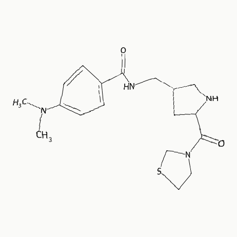 CN(C)c1ccc(C(=O)NCC2CNC(C(=O)N3CCSC3)C2)cc1